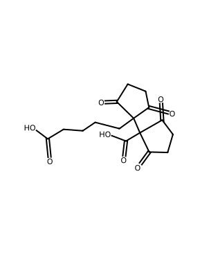 O=C(O)CCCCC1(C2(C(=O)O)C(=O)CCC2=O)C(=O)CCC1=O